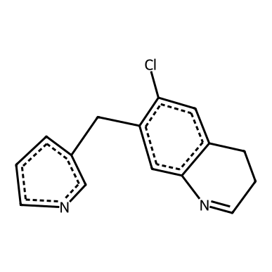 Clc1cc2c(cc1Cc1cccnc1)N=CCC2